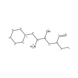 C=CC(CC)CC(O)C(N)CC1CCCCC1